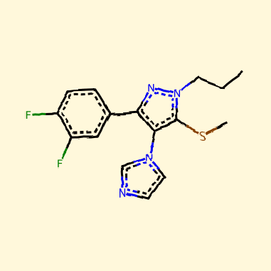 CCCn1nc(-c2ccc(F)c(F)c2)c(-n2ccnc2)c1SC